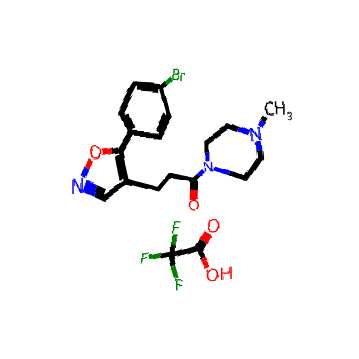 CN1CCN(C(=O)CCc2cnoc2-c2ccc(Br)cc2)CC1.O=C(O)C(F)(F)F